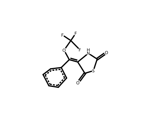 O=C1NC(=C(OC(F)(F)F)c2ccccc2)C(=O)S1